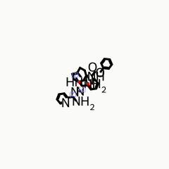 N/C(=N\N=C(/NC/C1=C\CCC(N)C(NC(=O)Oc2ccccc2)CC1)c1ccccn1)c1ccccn1